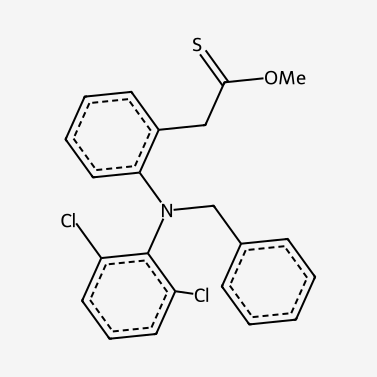 COC(=S)Cc1ccccc1N(Cc1ccccc1)c1c(Cl)cccc1Cl